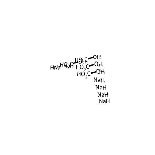 O=C(O)O.O=C(O)O.O=C(O)O.O=C(O)O.[NaH].[NaH].[NaH].[NaH].[NaH].[NaH]